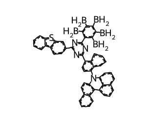 Bc1c(B)c(B)c(-c2nc(-c3ccc4c(c3)sc3ccccc34)nc(-c3ccc(N4c5ccc6ccccc6c5-c5cccc6cccc4c56)c4ccccc34)n2)c(B)c1B